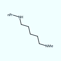 CCCNCCCCCNC